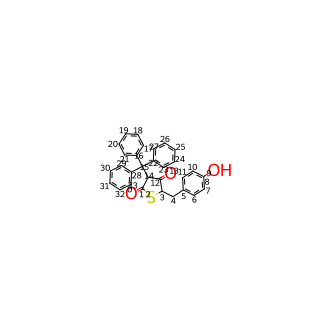 O=C1SC(Cc2ccc(O)cc2)C(=O)C1C(c1ccccc1)(c1ccccc1)c1ccccc1